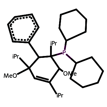 COC1C(C(C)C)=CC(OC)(C(C)C)C(c2ccccc2)C1(C(C)C)P(C1CCCCC1)C1CCCCC1